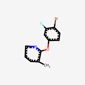 Cc1cccnc1Oc1ccc(Br)c(F)c1